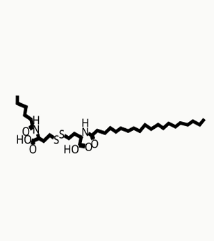 CCCCCCCCCCCCCCCCCCCC(=O)NC(CCSSCCC(NC(=O)CCCCC)C(=O)O)C(=O)O